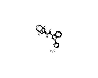 CN1[C@@H]2COC[C@H]1CC(NC(=O)c1cn(-c3ccn(C)n3)c3ccccc13)C2